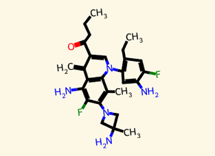 C=C1C(C(=O)CCC)=CN(c2cc(N)c(F)cc2CC)c2c(C)c(N3CC(C)(N)C3)c(F)c(N)c21